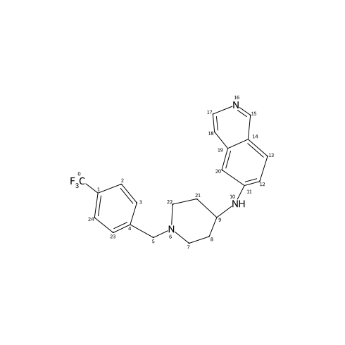 FC(F)(F)c1ccc(CN2CCC(Nc3ccc4cnccc4c3)CC2)cc1